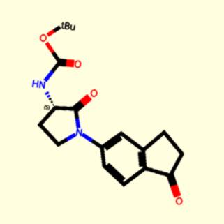 CC(C)(C)OC(=O)N[C@H]1CCN(c2ccc3c(c2)CCC3=O)C1=O